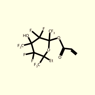 C=CC(=O)OC1(C(F)(F)F)OC(CC)(C(F)(F)F)C(F)(F)C(O)(C(F)(F)F)C1(F)F